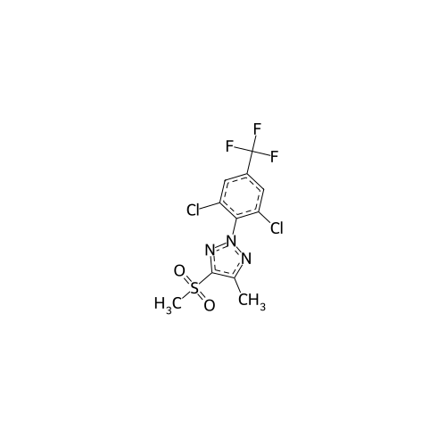 Cc1nn(-c2c(Cl)cc(C(F)(F)F)cc2Cl)nc1S(C)(=O)=O